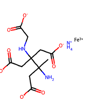 CC(N)(CC(=O)[O-])C(CC(=O)[O-])(CC(=O)[O-])NCC(=O)[O-].[Fe+3].[NH4+]